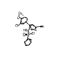 COc1ccc(-c2cc(C#N)nn2NS(=O)(=O)c2ccccc2)cc1Cl